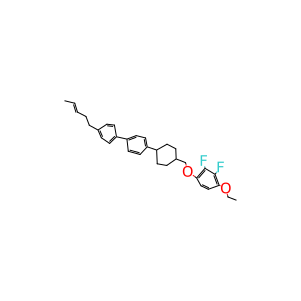 C/C=C/CCc1ccc(-c2ccc(C3CCC(COc4ccc(OCC)c(F)c4F)CC3)cc2)cc1